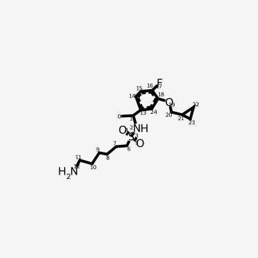 CC(NS(=O)(=O)CCCCCCN)c1ccc(F)c(OCC2CC2)c1